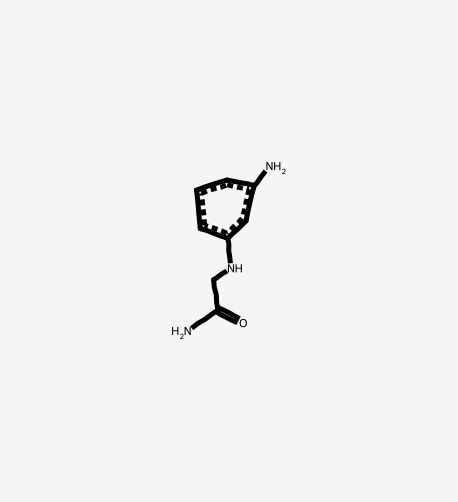 NC(=O)CNc1cccc(N)c1